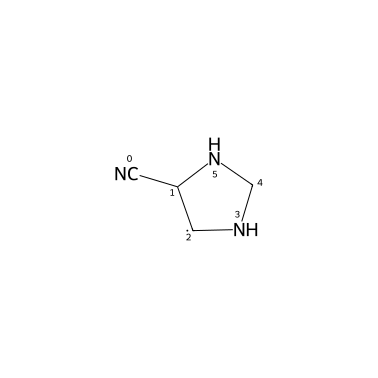 N#CC1[CH]NCN1